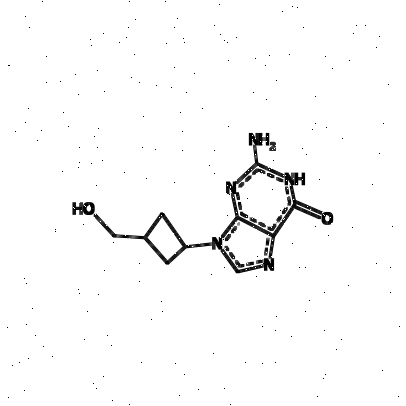 Nc1nc2c(ncn2C2CC(CO)C2)c(=O)[nH]1